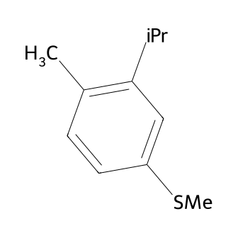 CSc1ccc(C)c(C(C)C)c1